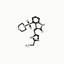 CCc1ncc(/C=C2\C(=O)Nc3cccc(S(=O)(=O)N4CCOCC4)c32)[nH]1